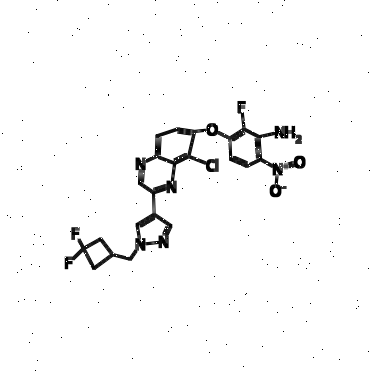 Nc1c([N+](=O)[O-])ccc(Oc2ccc3ncc(-c4cnn(CC5CC(F)(F)C5)c4)nc3c2Cl)c1F